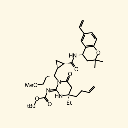 C=CCC[C@]1(CC)CC(=O)N([C@H](CCOC)[C@H]2C[C@@H]2C(=O)N[C@H]2CC(C)(C)Oc3ccc(C=C)cc32)/C(=N/C(=O)OC(C)(C)C)N1